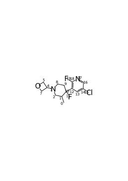 CC1CN(C2COC2)CCC1(F)c1cc(Cl)cnc1F